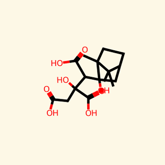 CC1(C)C2CCC1(C)C(O)(C(C(=O)O)C(O)(CC(=O)O)C(=O)O)C2